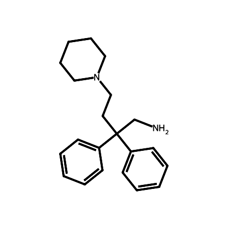 NCC(CCN1CCCCC1)(c1ccccc1)c1ccccc1